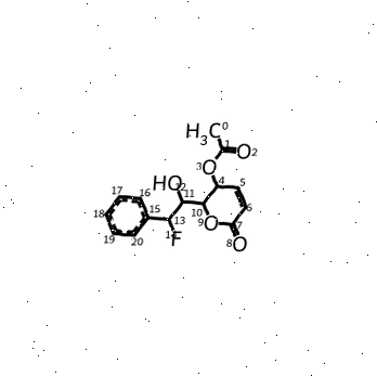 CC(=O)OC1C=CC(=O)OC1C(O)C(F)c1ccccc1